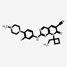 CCC1(n2c(=O)c(C#N)cc3cnc(Nc4ccc(N5CCN(C)CC5)c(F)c4)nc32)CCC1